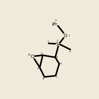 CC(C)O[Si](C)(C)C1CCCC2OC21